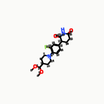 COC(OC)C1CCN(c2ccc(C3CCC(=O)NC3=O)cc2F)CC1